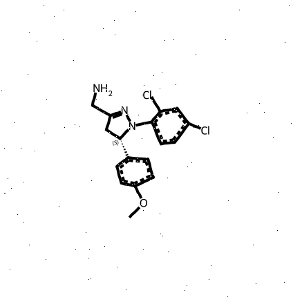 COc1ccc([C@@H]2CC(CN)=NN2c2ccc(Cl)cc2Cl)cc1